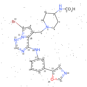 O=C(O)NC1CCN(Cc2cc(Br)n3ncnc(Nc4cccc(-c5cnco5)c4)c23)CC1